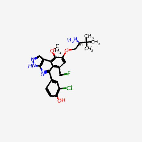 COc1c(OC[C@@H](N)C(C)(C)C)cc(CF)c2c(-c3ccc(O)c(Cl)c3)nc3[nH]ncc3c12